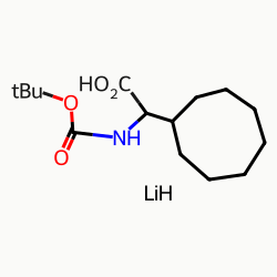 CC(C)(C)OC(=O)NC(C(=O)O)C1CCCCCCC1.[LiH]